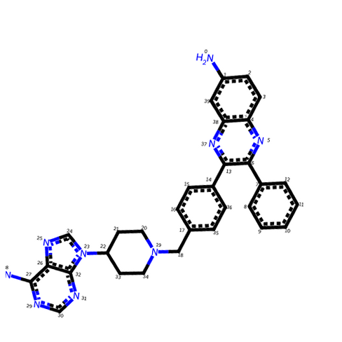 Nc1ccc2nc(-c3ccccc3)c(-c3ccc(CN4CCC(n5cnc6c(N)ncnc65)CC4)cc3)nc2c1